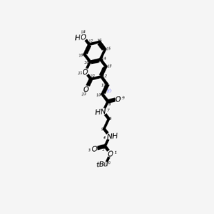 CC(C)(C)OC(=O)NCCNC(=O)/C=C/c1cc2ccc(O)cc2oc1=O